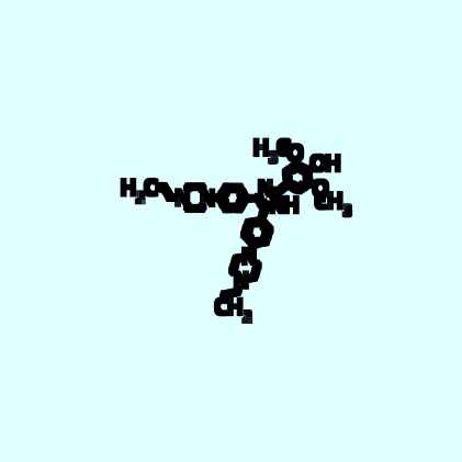 C=CCN1CCN(c2ccc(-c3nc(-c4cc(OC)c(O)c(OC)c4)[nH]c3-c3ccc(N4CCN(CC=C)CC4)cc3)cc2)CC1